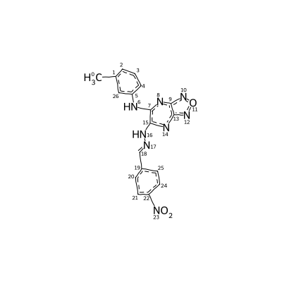 Cc1cccc(Nc2nc3nonc3nc2NN=Cc2ccc([N+](=O)[O-])cc2)c1